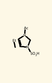 CC(=O)N1C=CN(S(=O)(=O)O)C1.CCC